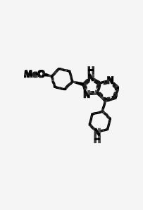 CO[C@H]1CC[C@@H](c2nc3c(C4CCNCC4)ccnc3[nH]2)CC1